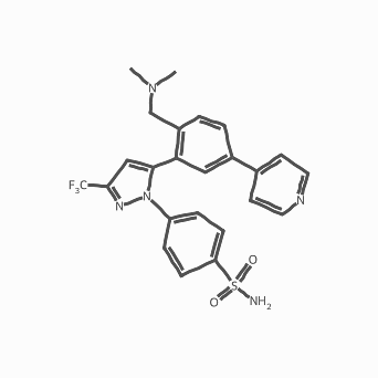 CN(C)Cc1ccc(-c2ccncc2)cc1-c1cc(C(F)(F)F)nn1-c1ccc(S(N)(=O)=O)cc1